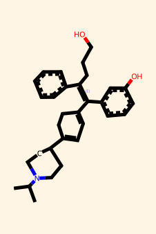 CC(C)N1CCC(C2=CC=C(/C(=C(/CCCO)c3ccccc3)c3cccc(O)c3)CC2)CC1